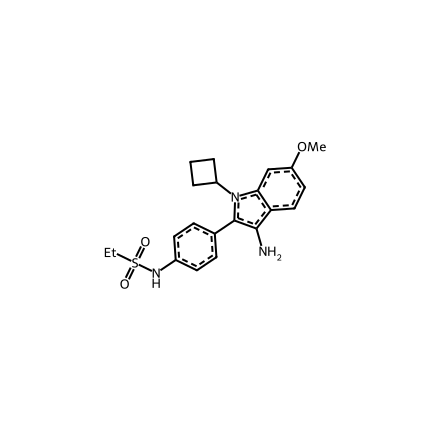 CCS(=O)(=O)Nc1ccc(-c2c(N)c3ccc(OC)cc3n2C2CCC2)cc1